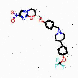 O=[N+]([O-])c1cn2c(n1)O[C@@H](COc1ccc(CN3CCC(c4ccc(OC(F)(F)F)cc4)CC3)cc1)CC2